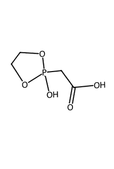 O=C(O)C[P]1(O)OCCO1